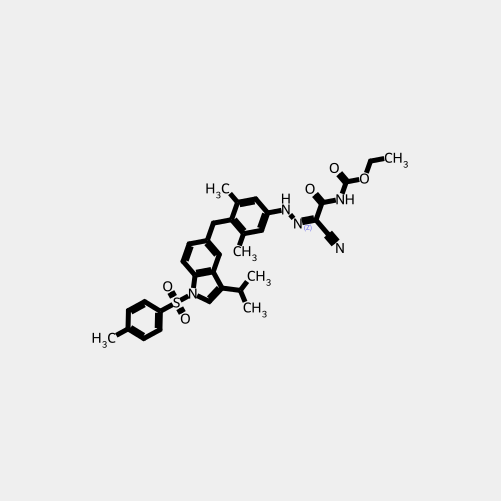 CCOC(=O)NC(=O)/C(C#N)=N\Nc1cc(C)c(Cc2ccc3c(c2)c(C(C)C)cn3S(=O)(=O)c2ccc(C)cc2)c(C)c1